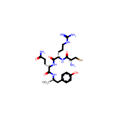 N=C(N)NCCC[C@H](NC(=O)[C@@H](N)CS)C(=O)N[C@@H](CCC(N)=O)C(=O)N[C@@H](Cc1ccc(O)cc1)C(=O)O